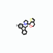 O=C(O)N1CCC[C@]1(CC1c2ccccc2-c2ccccc21)[C@H]1OCCc2ccsc21